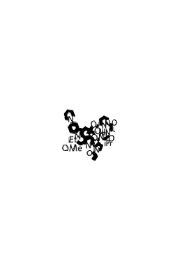 C=CC(=O)N1CC[C@H](C(=O)N(C)[C@H](C(=O)N[C@@H](C)C(=O)N2CCC[C@@H](C(=O)OCC(C)(C)Cc3c(-c4cccnc4[C@H](C)OC)n(CC)c4ccc(N5CCCCC5)cc34)N2)C(C)C)C1